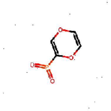 O=P(=O)C1=COC=CO1